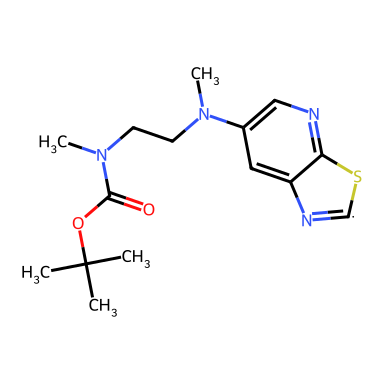 CN(CCN(C)c1cnc2s[c]nc2c1)C(=O)OC(C)(C)C